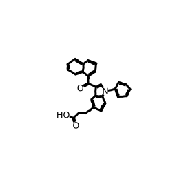 O=C(O)CCc1ccc2c(c1)c(C(=O)c1cccc3ccccc13)cn2-c1ccccc1